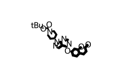 CC(C)(C)OC(=O)N1CCC(n2ncc3c(Oc4ccc5ccc(=O)oc5c4)ncnc32)CC1